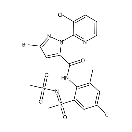 Cc1cc(Cl)cc(S(C)(=O)=NS(C)(=O)=O)c1NC(=O)c1cc(Br)nn1-c1ncccc1Cl